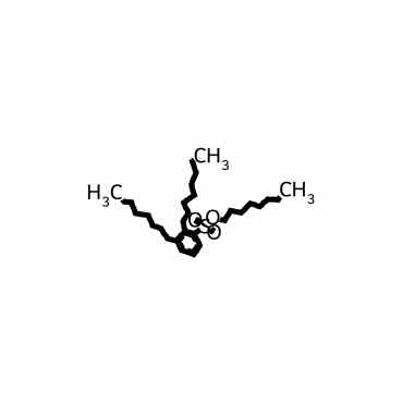 CCCCCCCCOS(=O)(=O)c1cccc(CCCCCCCC)c1CCCCCCCC